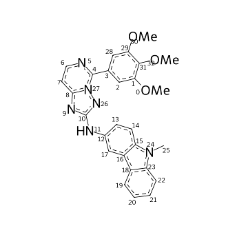 COc1cc(-c2nccc3nc(Nc4ccc5c(c4)c4ccccc4n5C)nn23)cc(OC)c1OC